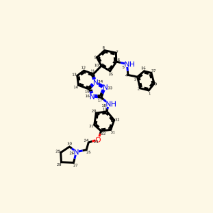 c1ccc(CNc2cccc(-c3cccc4nc(Nc5ccc(OCCN6CCCC6)cc5)nn34)c2)cc1